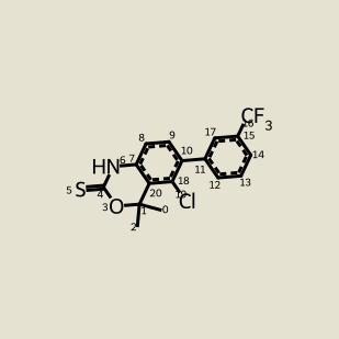 CC1(C)OC(=S)Nc2ccc(-c3cccc(C(F)(F)F)c3)c(Cl)c21